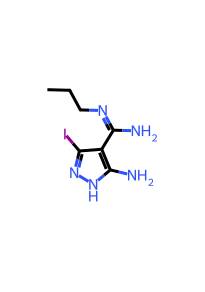 CCC/N=C(/N)c1c(I)n[nH]c1N